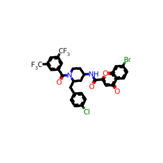 O=C(NC1CCN(C(=O)c2cc(C(F)(F)F)cc(C(F)(F)F)c2)C(Cc2ccc(Cl)cc2)C1)c1cc(=O)c2ccc(Br)cc2o1